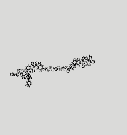 C[C@@H](NC(=O)c1cccc(NC2(c3nnc(-c4ccncc4)[nH]3)CCN(C(=O)OC(C)(C)C)CC2)c1)c1ccc(OCCCCCOCCCOCC(=O)N2CCN(c3cc4c(cc3F)C(=O)N(C3CCC(=O)NC3=O)C4=O)CC2)cc1